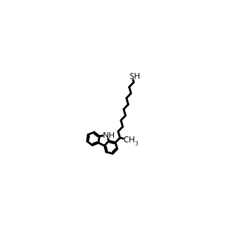 CC(CCCCCCCCCCS)c1cccc2c1[nH]c1ccccc12